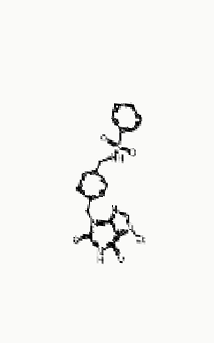 CCn1cnc2c1c(=O)[nH]c(=O)n2Cc1ccc(CNS(=O)(=O)c2ccccc2)cc1